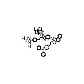 Cl.Cl.Cl.Cn1c(CCc2ccc(C(=N)N)cc2)nc2cc(N(Cc3cccc4ccccc34)C(=O)CCC3CCN(C(c4ccccc4)c4ccccc4)CC3)ccc21